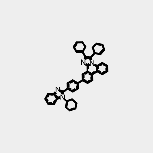 C1=CCCC(c2nc3c4cc(-c5ccc(-c6nc7ccccc7n6C6=CC=CCC6)cc5)ccc4c4ccccc4n3c2C2C=CC=CC2)=C1